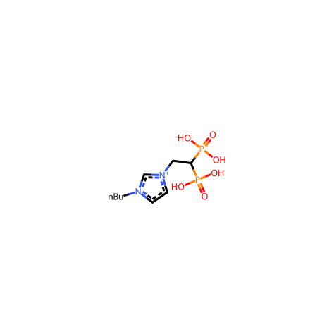 CCCCn1cc[n+](CC(P(=O)(O)O)P(=O)(O)O)c1